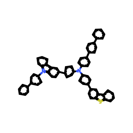 c1ccc(-c2ccc(-c3ccc(N(c4ccc(-c5ccc6sc7ccccc7c6c5)cc4)c4ccc(-c5ccc6c(c5)c5ccccc5n6-c5ccc(-c6ccccc6)cc5)cc4)cc3)cc2)cc1